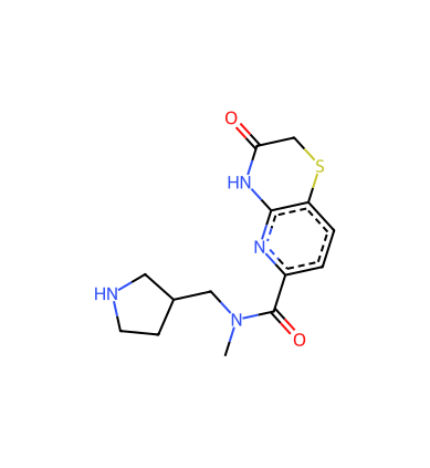 CN(CC1CCNC1)C(=O)c1ccc2c(n1)NC(=O)CS2